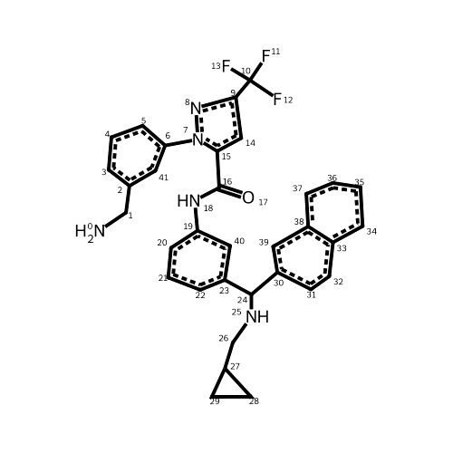 NCc1cccc(-n2nc(C(F)(F)F)cc2C(=O)Nc2cccc(C(NCC3CC3)c3ccc4ccccc4c3)c2)c1